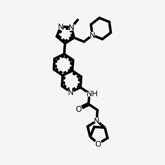 Cn1ncc(-c2ccc3cnc(NC(=O)CN4CC5CC4CO5)cc3c2)c1CN1CCCCC1